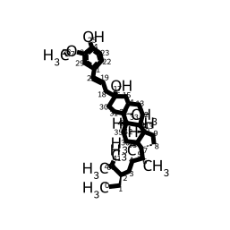 CC[C@H](CC[C@@H](C)[C@H]1CC[C@H]2[C@@H]3CCC4CC(O)(CC=Cc5ccc(O)c(OC)c5)CC[C@]4(C)[C@H]3CC[C@]12C)C(C)C